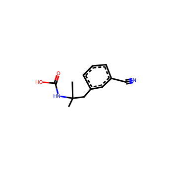 CC(C)(Cc1cccc(C#N)c1)NC(=O)O